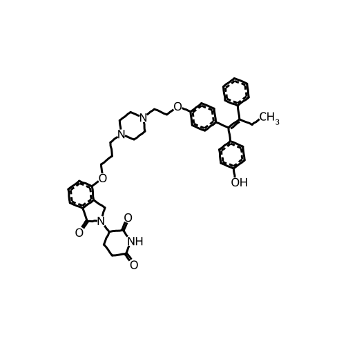 CC/C(=C(\c1ccc(O)cc1)c1ccc(OCCN2CCN(CCCOc3cccc4c3CN(C3CCC(=O)NC3=O)C4=O)CC2)cc1)c1ccccc1